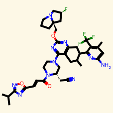 Cc1cc(N)nc(C2Cc3nc(OC[C@@]45CCCN4C[C@H](F)C5)nc(N4CCN(C(=O)/C=C/c5nc(C(C)C)no5)[C@@H](CC#N)C4)c3CC2C)c1C(F)(F)F